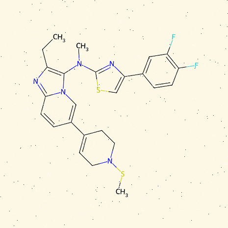 CCc1nc2ccc(C3=CCN(SC)CC3)cn2c1N(C)c1nc(-c2ccc(F)c(F)c2)cs1